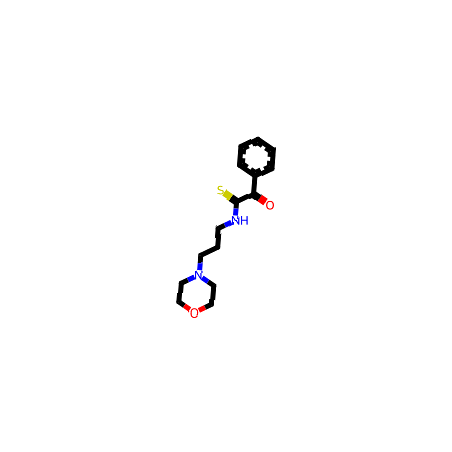 O=C(C(=S)NCCCN1CCOCC1)c1ccccc1